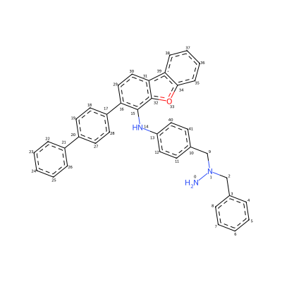 NN(Cc1ccccc1)Cc1ccc(Nc2c(-c3ccc(-c4ccccc4)cc3)ccc3c2oc2ccccc23)cc1